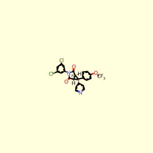 O=C1[C@@H]2[C@H](C(=O)N1c1cc(Cl)cc(Cl)c1)[C@]2(c1ccncc1)c1ccc(OC(F)(F)F)cc1